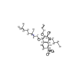 C=CCOc1c(OC/C=C(\C)CCC=C(C)C)c2ccc([N+](=O)[O-])cc2n(CCCC)c1=O